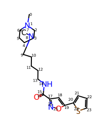 CN1CC2CCC1CN2CCCCCNC(=O)c1cc(-c2cccs2)on1